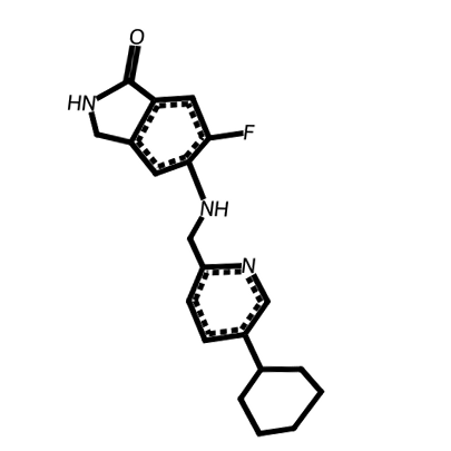 O=C1NCc2cc(NCc3ccc(C4CCCCC4)cn3)c(F)cc21